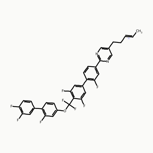 C/C=C/CCc1cnc(-c2ccc(-c3cc(F)c(C(F)(F)Oc4ccc(-c5ccc(F)c(F)c5)c(F)c4)c(F)c3)c(F)c2)nc1